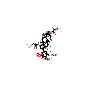 COC(C[C@@H](C)C1C[C@H](CC(=O)CN)[C@@]2(C)[C@@H]3CC[C@H]4C(C)(C)[C@@H](OC(=O)CN)CC[C@@]45CC35CC[C@]12C)[C@H](OC(C)=O)C(C)(C)O